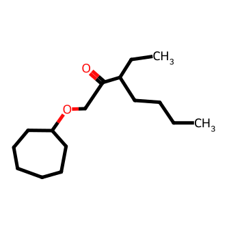 CCCCC(CC)C(=O)COC1CCCCCC1